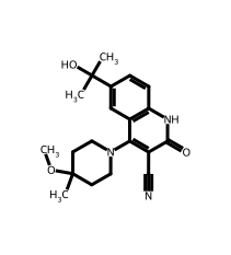 COC1(C)CCN(c2c(C#N)c(=O)[nH]c3ccc(C(C)(C)O)cc23)CC1